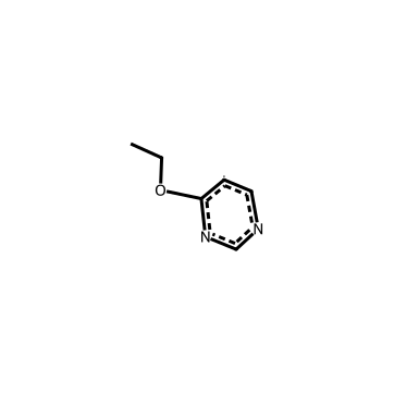 CCOc1[c]cncn1